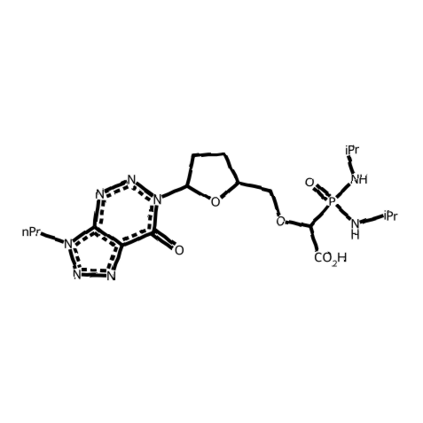 CCCn1nnc2c(=O)n(C3CCC(COC(C(=O)O)P(=O)(NC(C)C)NC(C)C)O3)nnc21